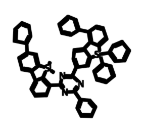 C[Si]1(C)c2cc(-c3ccccc3)ccc2-c2cccc(-c3nc(-c4ccccc4)nc(-c4ccc5c(c4)[Si](c4ccccc4)(c4ccccc4)c4cccc(-c6ccccc6)c4-5)n3)c21